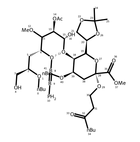 CCCCO[C@@H](CO)C[C@@H](OB=BP)C(OC)[C@@H](OC(C)=O)[C@H](O)O[C@H]1C([C@H]2COC(C)(C)O2)O[C@@](OCCC(=O)CCCC)(C(=O)OC)C[C@H]1OCCCC